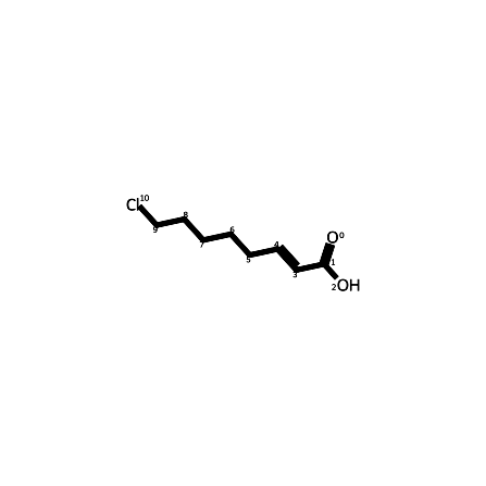 O=C(O)/C=C/CCCCCCl